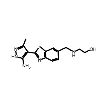 Cc1n[nH]c(N)c1-c1nc2ccc(CNCCO)cc2s1